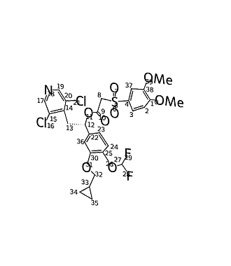 COc1ccc(S(=O)(=O)CC(=O)O[C@@H](Cc2c(Cl)cncc2Cl)c2ccc(OC(F)F)c(OCC3CC3)c2)cc1OC